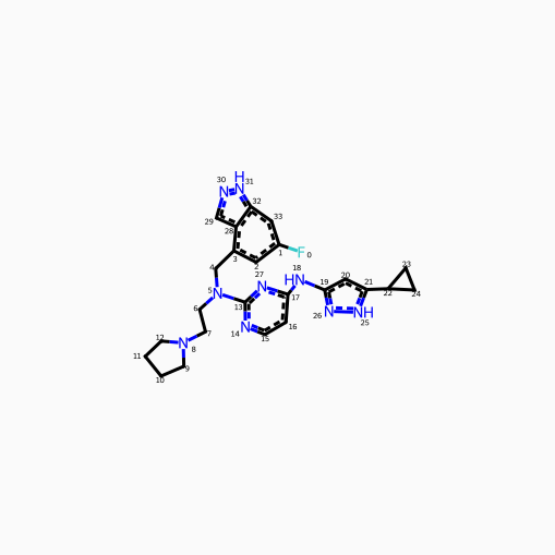 Fc1cc(CN(CCN2CCCC2)c2nccc(Nc3cc(C4CC4)[nH]n3)n2)c2cn[nH]c2c1